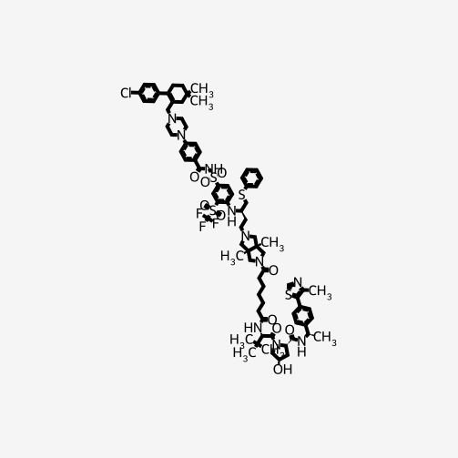 Cc1ncsc1-c1ccc([C@H](C)NC(=O)[C@@H]2C[C@@H](O)CN2C(=O)[C@@H](NC(=O)CCCCCC(=O)N2C[C@]3(C)CN(CC[C@H](CSc4ccccc4)Nc4ccc(S(=O)(=O)NC(=O)c5ccc(N6CCN(CC7=C(c8ccc(Cl)cc8)CCC(C)(C)C7)CC6)cc5)cc4S(=O)(=O)C(F)(F)F)C[C@]3(C)C2)C(C)(C)C)cc1